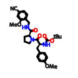 COc1ccc(C[C@H](NC(=O)OC(C)(C)C)C(=O)N2CCC[C@H]2C(=O)NCc2ccc(C#N)cc2OC)cc1